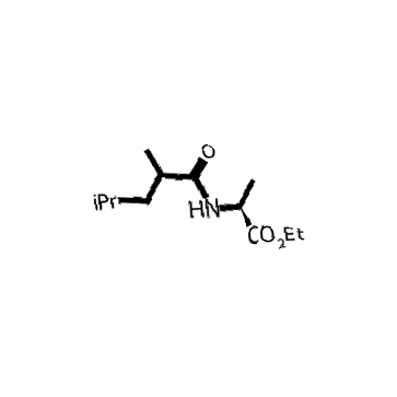 CCOC(=O)[C@H](C)NC(=O)C(C)CC(C)C